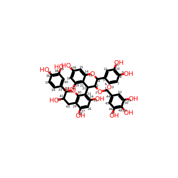 O=C(OC1C(c2ccc(O)c(O)c2)Oc2cc(O)cc(O)c2C1c1c(O)cc(O)c2c1OC(c1ccc(O)c(O)c1)C(O)C2)c1cc(O)c(O)c(O)c1